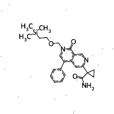 C[Si](C)(C)CCOCn1cc(-c2ccccc2)c2cc(C3(C(N)=O)CC3)ncc2c1=O